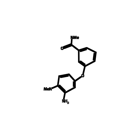 CNC(=O)c1cccc(Oc2ccc(NC)c(N)c2)c1